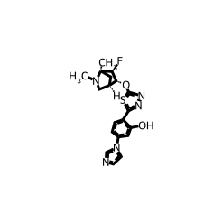 CN1C[C@H]2C[C@]1(C)[C@@H](F)[C@@H]2Oc1nnc(-c2ccc(-n3ccnc3)cc2O)s1